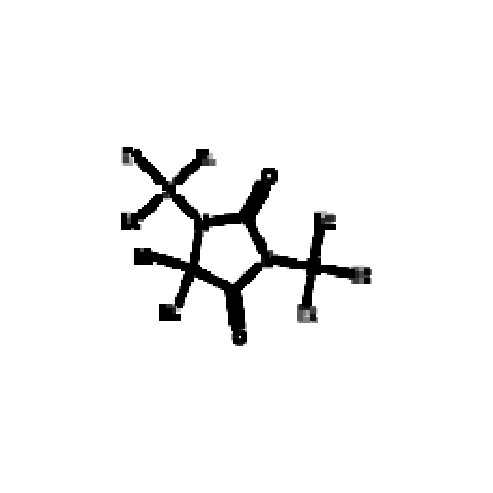 CCC1(CC)C(=O)N([Si](CC)(CC)CC)C(=O)N1[Si](CC)(CC)CC